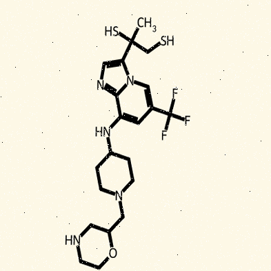 CC(S)(CS)c1cnc2c(NC3CCN(CC4CNCCO4)CC3)cc(C(F)(F)F)cn12